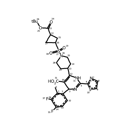 Cc1c(C2N=C(c3nccs3)NC(C3CCN(S(=O)(=O)C4CC(C(=O)OC(C)(C)C)C4)CC3)=C2C(=O)O)ccc(F)c1F